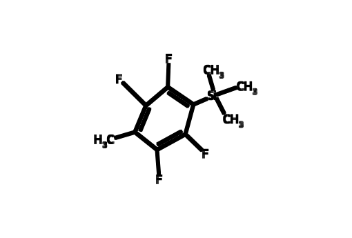 Cc1c(F)c(F)c([Si](C)(C)C)c(F)c1F